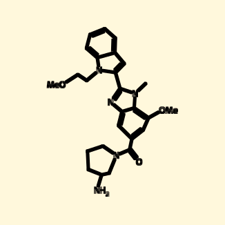 COCCn1c(-c2nc3cc(C(=O)N4CCCC(N)C4)cc(OC)c3n2C)cc2ccccc21